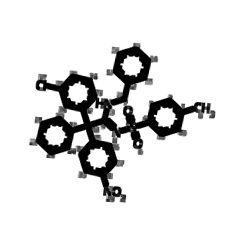 Cc1ccc(S(=O)(=O)N=C(NCc2ccccc2)C(c2ccccc2)(c2ccc([N+](=O)[O-])cc2)c2cccc(Cl)c2)cc1